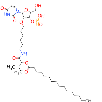 CCCCCCCCCCCCCCCC(=O)OC(C(=O)NCCCCCCOC1C(O[PH](=O)O)C(CO)OC1n1ccc(=O)[nH]c1=O)C(C)C